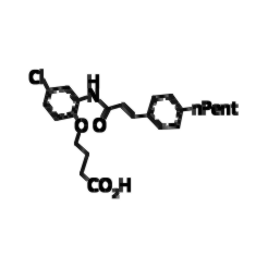 CCCCCc1ccc(/C=C/C(=O)Nc2cc(Cl)ccc2OCCCC(=O)O)cc1